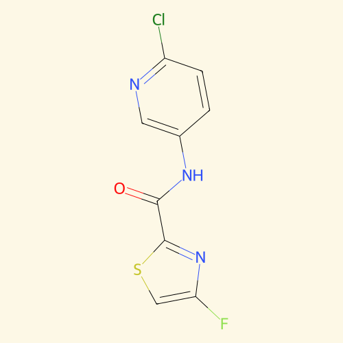 O=C(Nc1ccc(Cl)nc1)c1nc(F)cs1